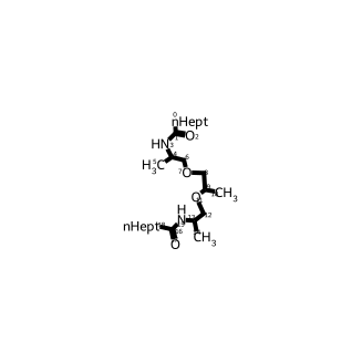 CCCCCCCC(=O)NC(C)COCC(C)OCC(C)NC(=O)CCCCCCC